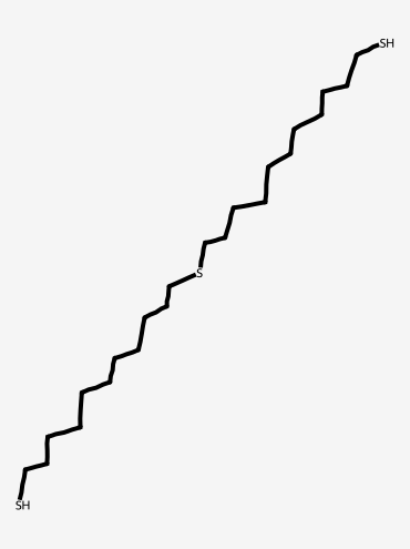 SCCCCCCCCCCCSCCCCCCCCCCCS